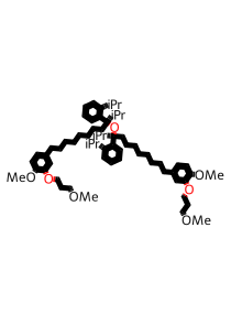 COCCCOc1cc(CCCCCCCCC(OC(CCCCCCCCc2ccc(OC)c(OCCCOC)c2)(c2ccccc2C(C)C)C(C)C)(c2ccccc2C(C)C)C(C)C)ccc1OC